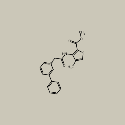 COC(=O)c1scc(C)c1NC(=O)C[n+]1cccc(-c2ccccc2)c1